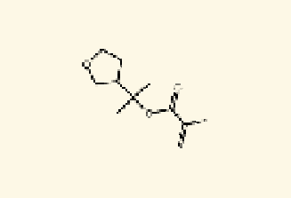 C=C(C)C(=O)OC(C)(C)C1CCOC1